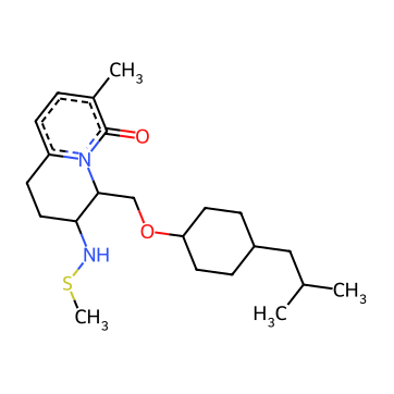 CSNC1CCc2ccc(C)c(=O)n2C1COC1CCC(CC(C)C)CC1